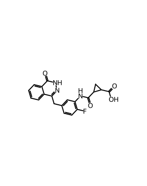 O=C(O)C1CC1C(=O)Nc1cc(Cc2n[nH]c(=O)c3ccccc23)ccc1F